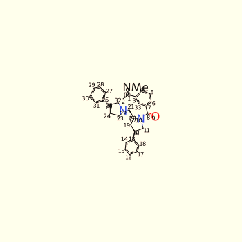 CN[C@H](C)c1cccc(C(=O)N2C[C@@H](c3ccccc3)C[C@H]2CN2CC[C@H](c3ccccc3)C2)c1